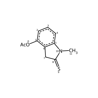 CC(=O)Oc1cccc2c1CC(=S)N2C